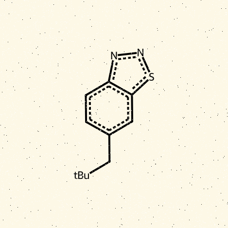 CC(C)(C)Cc1ccc2nnsc2c1